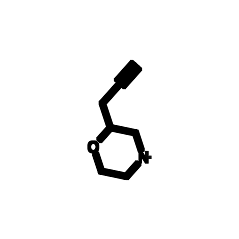 C#CCC1C[N]CCO1